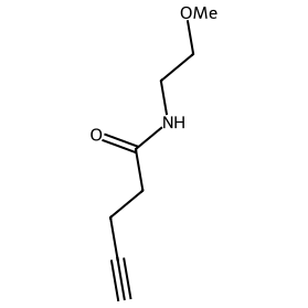 C#CCCC(=O)NCCOC